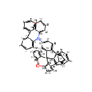 c1ccc(-c2ccccc2N(c2ccccc2)c2ccc3c(c2)C2(c4ccccc4Oc4cccc(-c5ccccc5)c42)c2ccccc2-3)cc1